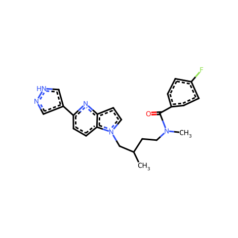 CC(CCN(C)C(=O)c1ccc(F)cc1)Cn1ccc2nc(-c3cn[nH]c3)ccc21